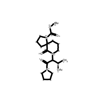 CC(=O)O[C@H](C)C(C(=O)N1CCCC1)N1CCCC2(CCCN2C(=O)OC(C)(C)C)C1=O